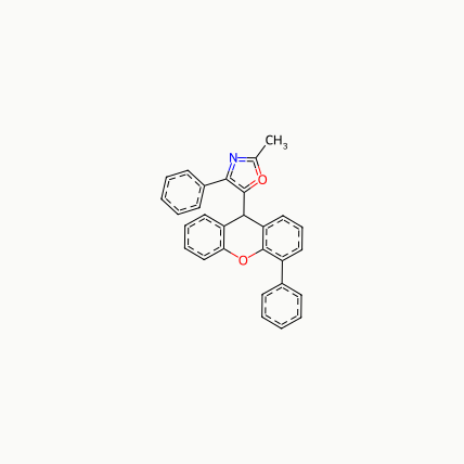 Cc1nc(-c2ccccc2)c(C2c3ccccc3Oc3c(-c4ccccc4)cccc32)o1